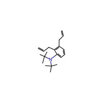 C=CCc1cccc(N(C(C)(C)C)C(C)(C)C)c1CC=C